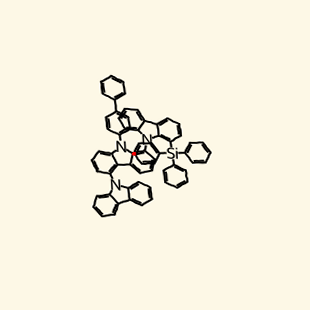 c1ccc(-c2ccc(-n3c4cccc(-n5c6ccccc6c6ccccc65)c4c4cccc(-n5c6ccccc6c6cccc([Si](c7ccccc7)(c7ccccc7)c7ccccc7)c65)c43)cc2)cc1